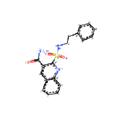 NC(=O)c1cc2ccccc2nc1S(=O)(=O)NCCc1ccccc1